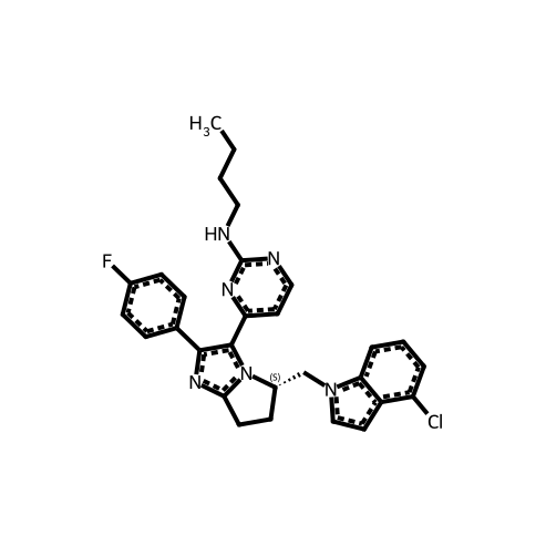 CCCCNc1nccc(-c2c(-c3ccc(F)cc3)nc3n2[C@H](Cn2ccc4c(Cl)cccc42)CC3)n1